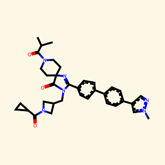 CC(C)C(=O)N1CCC2(CC1)N=C(c1ccc(-c3ccc(-c4cnn(C)c4)cc3)cc1)N(CC1CN(C(=O)C3CC3)C1)C2=O